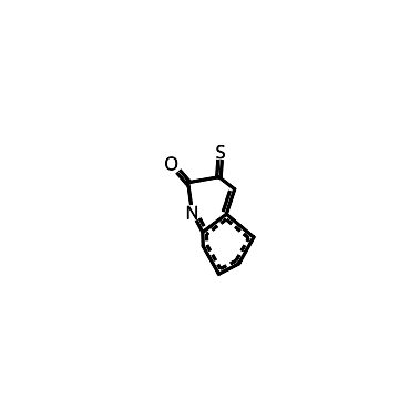 O=C1N=c2ccccc2=CC1=S